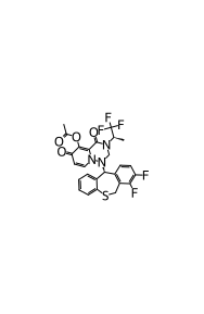 CC(=O)Oc1c2n(ccc1=O)N([C@@H]1c3ccccc3SCc3c1ccc(F)c3F)CN([C@H](C)C(F)(F)F)C2=O